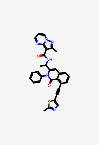 Cc1ncc(C#Cc2cccc3cc(C(C)NC(=O)c4c(C)nn5cccnc45)n(-c4ccccc4)c(=O)c23)s1